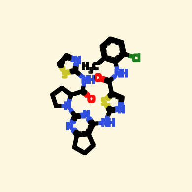 Cc1cccc(Cl)c1NC(=O)c1cnc(Nc2nc(N3CCCC3C(=O)Nc3nccs3)nc3c2CCC3)s1